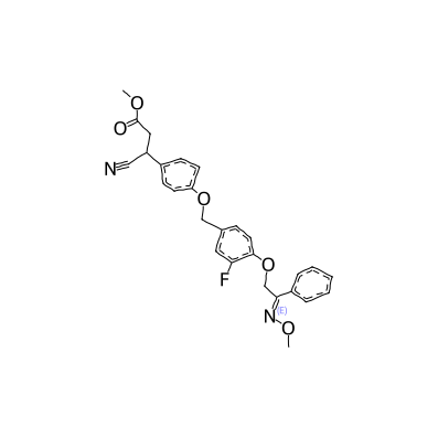 CO/N=C(/COc1ccc(COc2ccc(C(C#N)CC(=O)OC)cc2)cc1F)c1ccccc1